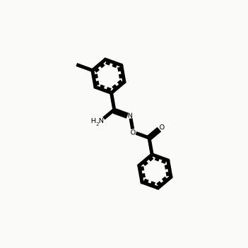 Cc1cccc(/C(N)=N/OC(=O)c2ccccc2)c1